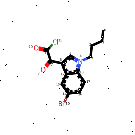 CCCCn1cc(C(=O)C(=O)Cl)c2cc(Br)ccc21